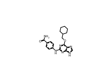 NC(=O)c1ccc(Nc2nc(OCC3CCCCC3)c3nc[nH]c3n2)cc1